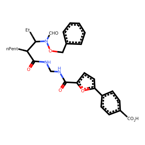 CCCCCC(C(=O)NCNC(=O)c1ccc(-c2ccc(C(=O)O)cc2)o1)C(CC)N(C=O)OCc1ccccc1